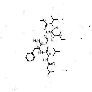 CC[C@H](C)[C@H](NC(=O)C[C@H](N)[C@H](Cc1ccccc1)NC(=O)[C@H](CC(C)C)NC(=O)CC(C)C)C(=O)NC(C(=O)OC)C(C)C